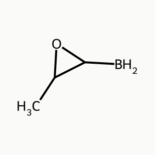 BC1OC1C